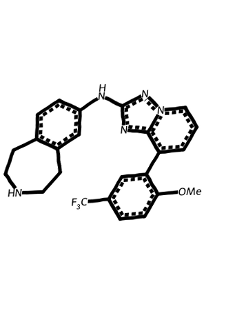 COc1ccc(C(F)(F)F)cc1-c1cccn2nc(Nc3ccc4c(c3)CCNCC4)nc12